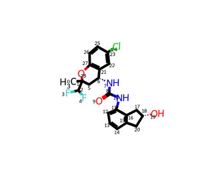 CC1(C(F)F)C[C@@H](NC(=O)Nc2cccc3c2C[C@H](O)C3)c2cc(Cl)ccc2O1